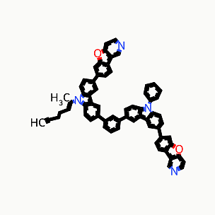 C#CCC/C=C(\C)n1c2ccc(-c3cccc(-c4ccc5c(c4)c4cc(-c6ccc7c(c6)oc6ccncc67)ccc4n5-c4ccccc4)c3)cc2c2cc(-c3ccc4c(c3)oc3ccncc34)ccc21